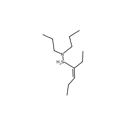 CCC=C(CC)[SiH2]N(CCC)CCC